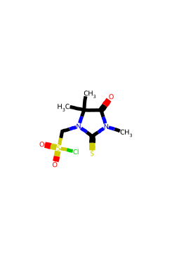 CN1C(=O)C(C)(C)N(CS(=O)(=O)Cl)C1=S